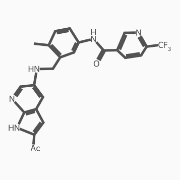 CC(=O)c1cc2cc(NCc3cc(NC(=O)c4ccc(C(F)(F)F)nc4)ccc3C)cnc2[nH]1